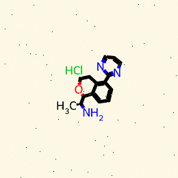 C[C@H](N)C1OCCc2c(-c3ncccn3)cccc21.Cl